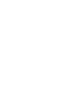 BC1(c2ccnc(-c3ccc4oc5cc6ccccc6cc5c4c3)c2)CCCCC1